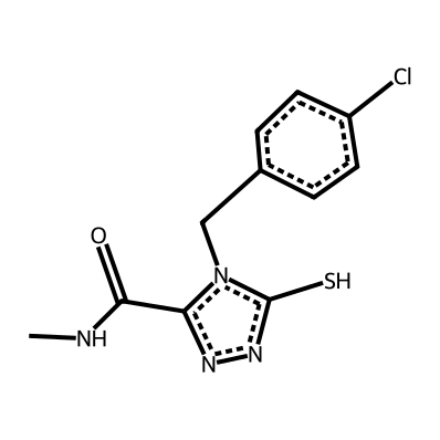 CNC(=O)c1nnc(S)n1Cc1ccc(Cl)cc1